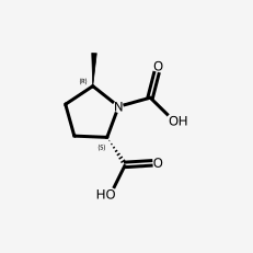 C[C@@H]1CC[C@@H](C(=O)O)N1C(=O)O